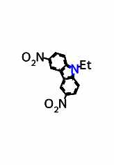 CCn1c2ccc([N+](=O)[O-])cc2c2cc([N+](=O)[O-])ccc21